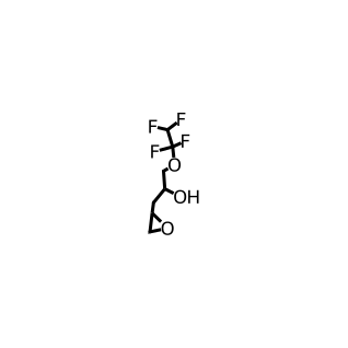 OC(COC(F)(F)C(F)F)CC1CO1